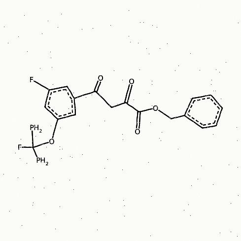 O=C(CC(=O)c1cc(F)cc(OC(F)(P)P)c1)C(=O)OCc1ccccc1